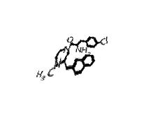 CN1CCN(C(=O)[C@H](N)Cc2ccc(Cl)cc2)C[C@H]1Cc1ccc2ccccc2c1